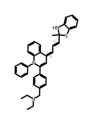 CCN(CC)Cc1ccc(C2=C/C(=C/C=C/C3(C)Nc4ccccc4S3)c3ccccc3N2c2ccccc2)cc1